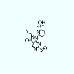 C=CCn1c(=O)c2cnc([S+](C)[O-])nc2n1-c1cccc(C(C)(C)O)n1